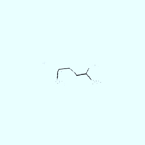 COC(CC[C@H](C)C(=O)O)OC